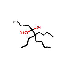 CCCCC(O)(O)C(CCC)(CCCC)CCCC